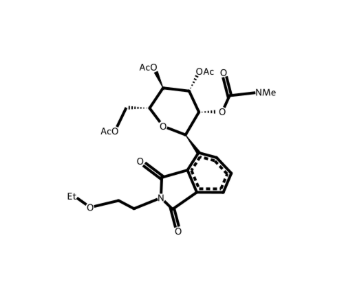 CCOCCN1C(=O)c2cccc([C@H]3O[C@H](COC(C)=O)[C@@H](OC(C)=O)[C@H](OC(C)=O)[C@@H]3OC(=O)NC)c2C1=O